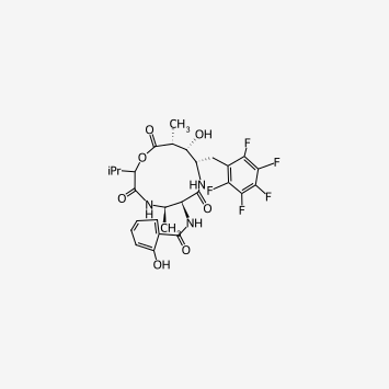 CC(C)C1OC(=O)[C@H](C)[C@H](O)[C@H](Cc2c(F)c(F)c(F)c(F)c2F)NC(=O)[C@@H](NC(=O)c2ccccc2O)[C@@H](C)NC1=O